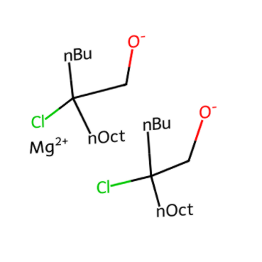 CCCCCCCCC(Cl)(C[O-])CCCC.CCCCCCCCC(Cl)(C[O-])CCCC.[Mg+2]